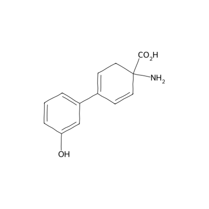 NC1(C(=O)O)C=CC(c2cccc(O)c2)=CC1